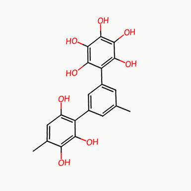 Cc1cc(-c2c(O)cc(C)c(O)c2O)cc(-c2c(O)c(O)c(O)c(O)c2O)c1